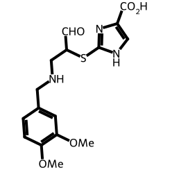 COc1ccc(CNCC(C=O)Sc2nc(C(=O)O)c[nH]2)cc1OC